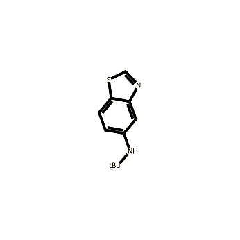 CC(C)(C)Nc1ccc2scnc2c1